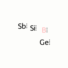 [B].[Ge].[Sb].[Si]